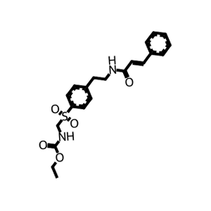 CCOC(=O)NCS(=O)(=O)c1ccc(CCNC(=O)C=Cc2ccccc2)cc1